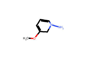 COC1=CC=CN(N)C1